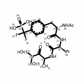 CCCCCCCCN(CCCCCCCC)C(=O)C(C)NC(=O)[C@@H](NC(=O)[C@H](Cc1ccc(C(F)(F)P(=O)(O)O)cc1)NC(C)=O)C(C)C